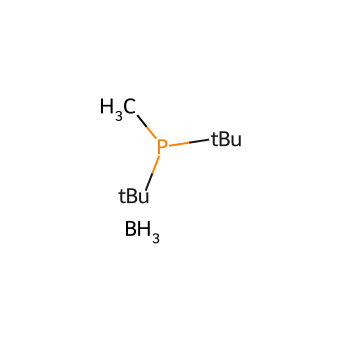 B.CP(C(C)(C)C)C(C)(C)C